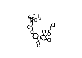 CS(=O)(=O)NCC(=O)COc1ccc(C2(c3cc(Cl)c(OCCCCl)c(Cl)c3)COC2)cc1